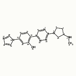 CNC1CCN(c2ncc(-c3ccc(-n4ccnc4)cc3O)nn2)C1